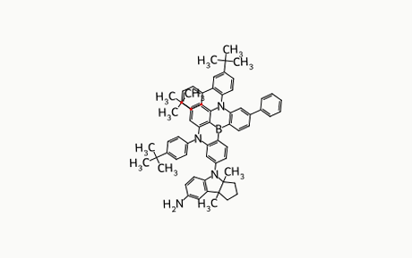 CC(C)(C)c1ccc(N2c3cc(N4c5ccc(N)cc5C5(C)CCCC45C)ccc3B3c4ccc(-c5ccccc5)cc4N(c4ccc(C(C)(C)C)cc4-c4ccccc4)c4cc(C(C)(C)C)cc2c43)cc1